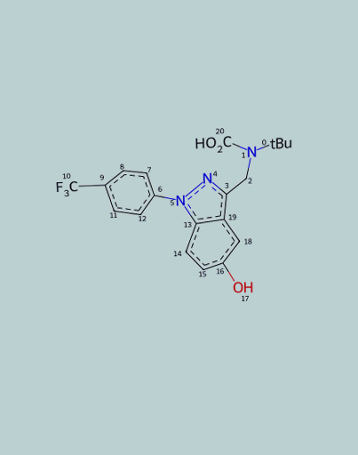 CC(C)(C)N(Cc1nn(-c2ccc(C(F)(F)F)cc2)c2ccc(O)cc12)C(=O)O